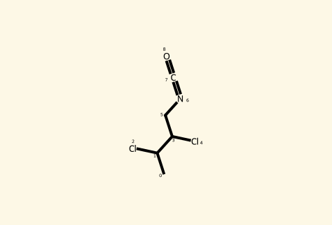 CC(Cl)C(Cl)CN=C=O